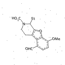 CCC1c2oc3c(OC)ccc(C=O)c3c2CCN1C(=O)O